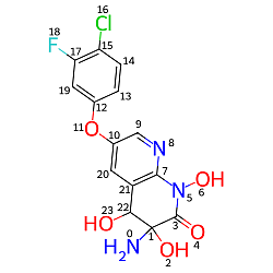 NC1(O)C(=O)N(O)c2ncc(Oc3ccc(Cl)c(F)c3)cc2C1O